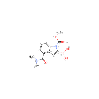 CC(C)N(C)C(=O)c1cccc2c1cc(B(O)O)n2C(=O)OC(C)(C)C